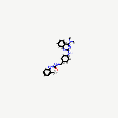 CC(C)c1ccccc1NC(=O)NCC1CCC(Nc2nc(N(C)C)c3ccccc3n2)CC1